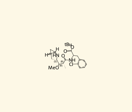 CO[C@@H]([C@@H]1C[C@@H]2C[C@@H]2N1)[C@@H](C)C(=O)NC(Cc1ccccc1Cl)C(=O)OC(C)(C)C